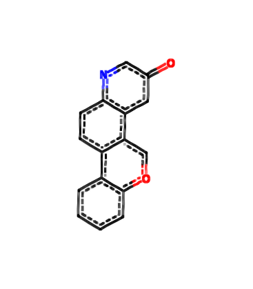 O=c1cnc2ccc3c4ccccc4occ3c2c1